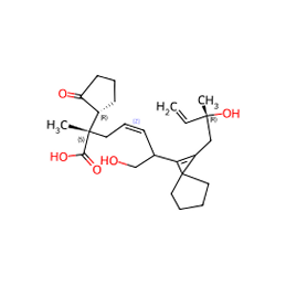 C=C[C@](C)(O)CC1=C(C(/C=C\C[C@](C)(C(=O)O)[C@H]2CCCC2=O)CO)C12CCCC2